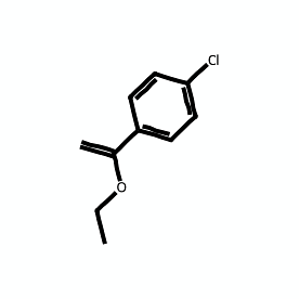 C=C(OCC)c1ccc(Cl)cc1